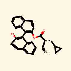 C=C[C@@H](CC1CC1)C(=O)Oc1ccc2ccccc2c1-c1c(O)ccc2ccccc12